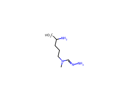 CN(C=NN)CCCC(N)C(=O)O